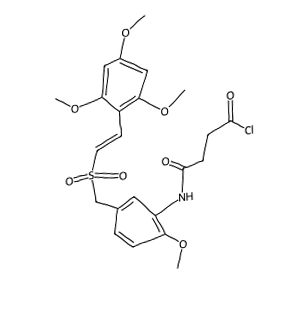 COc1cc(OC)c(/C=C/S(=O)(=O)Cc2ccc(OC)c(NC(=O)CCC(=O)Cl)c2)c(OC)c1